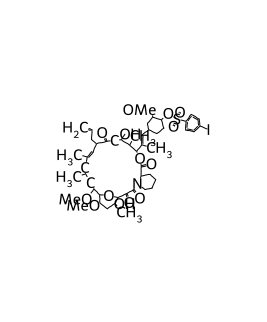 C=CCC1/C=C(\C)CC(C)CC(OC)C2OC(O)(C(=O)C(=O)N3CCCCC3C(=O)OC(C(C)=CC3CCC(OS(=O)(=O)c4ccc(I)cc4)C(OC)C3)C(C)C(O)CC1=O)C(C)CC2OC